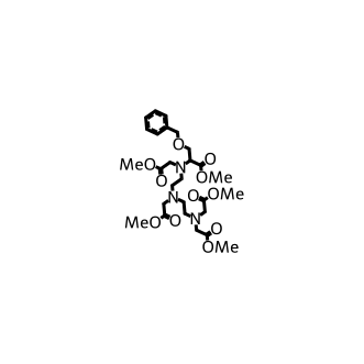 COC(=O)CN(CCN(CC(=O)OC)CC(=O)OC)CCN(CC(=O)OC)C(COCc1ccccc1)C(=O)OC